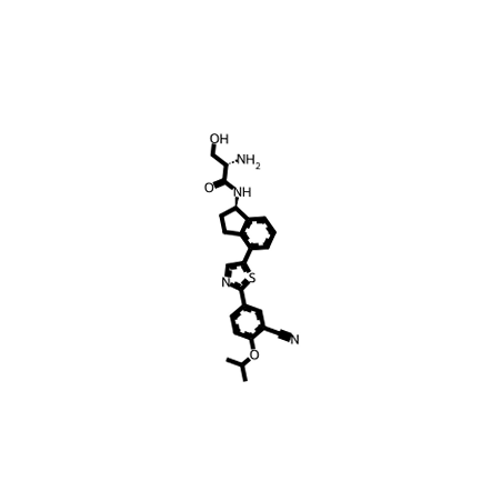 CC(C)Oc1ccc(-c2ncc(-c3cccc4c3CC[C@H]4NC(=O)[C@@H](N)CO)s2)cc1C#N